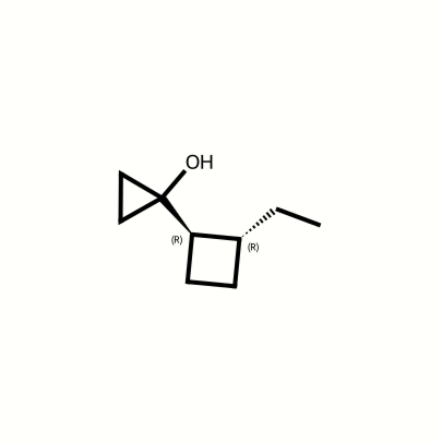 CC[C@@H]1CC[C@H]1C1(O)CC1